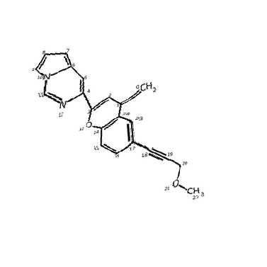 C=C1C=C(c2cc3cccn3cn2)Oc2ccc(C#CCOC)cc21